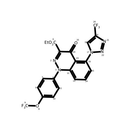 CCOC(=O)c1nn(-c2ccc(OC(F)(F)F)cc2)c2cccc(-n3cc(C(F)(F)F)nn3)c2c1=O